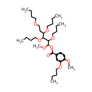 CCCCOCCC(OCCCC)C(OCCCC)C(OCCCC)C(OC)OC(=O)c1ccc(OC)c(OCCCC)c1